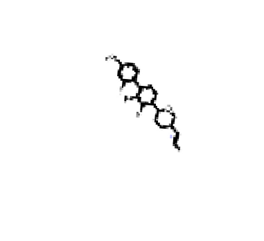 C/C=C/C1CCC(c2ccc(-c3ccc(CCC)cc3F)c(F)c2F)OC1